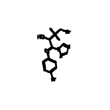 CC(C)(CBr)C(O)C(Oc1ccc(Br)cc1)n1cncn1